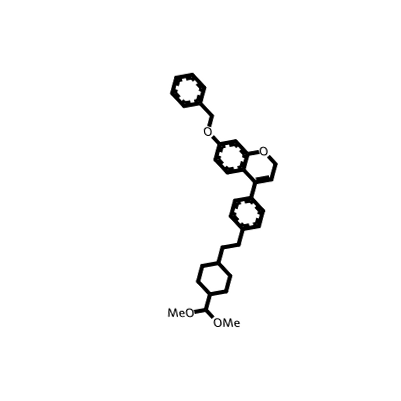 COC(OC)C1CCC(CCc2ccc(C3=CCOc4cc(OCc5ccccc5)ccc43)cc2)CC1